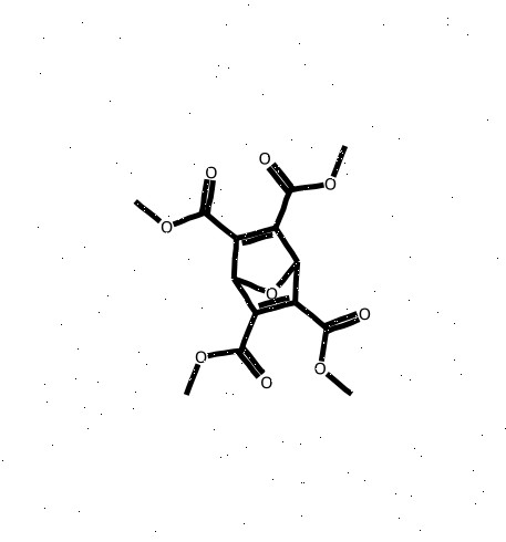 COC(=O)C1=C(C(=O)OC)C2OC1C(C(=O)OC)=C2C(=O)OC